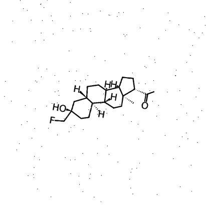 CC(=O)[C@H]1CC[C@H]2[C@@H]3CC[C@H]4C[C@@](O)(CF)CC[C@@H]4[C@H]3CC[C@]12C